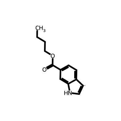 CCCCOC(=O)c1ccc2[c]c[nH]c2c1